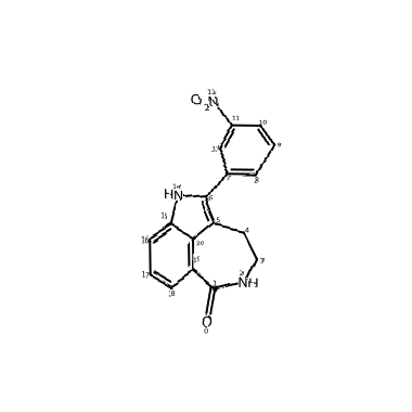 O=C1NCCc2c(-c3cccc([N+](=O)[O-])c3)[nH]c3cccc1c23